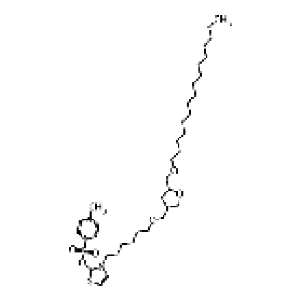 CCCCCCCCCCCCCCCCOCC1CC(COCCCCCCN2C=CSC2OS(=O)(=O)c2ccc(C)cc2)CO1